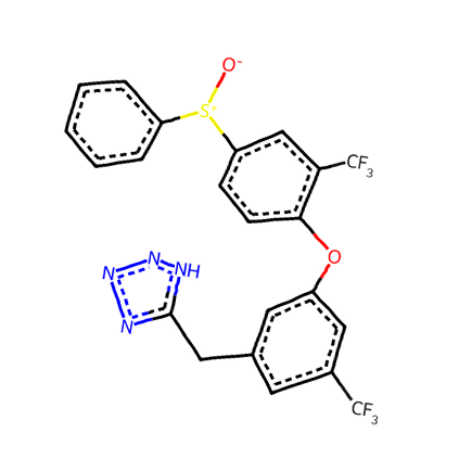 [O-][S+](c1ccccc1)c1ccc(Oc2cc(Cc3nnn[nH]3)cc(C(F)(F)F)c2)c(C(F)(F)F)c1